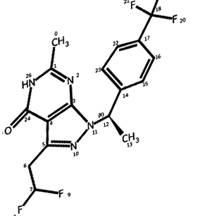 Cc1nc2c(c(CC(F)F)nn2[C@H](C)c2ccc(C(F)(F)F)cc2)c(=O)[nH]1